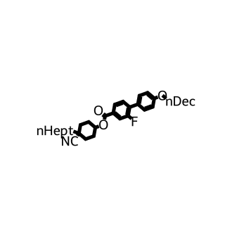 CCCCCCCCCCOc1ccc(-c2ccc(C(=O)OC3CCC(C#N)(CCCCCCC)CC3)cc2F)cc1